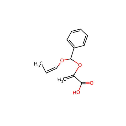 C=C(OC(O/C=C\C)c1ccccc1)C(=O)O